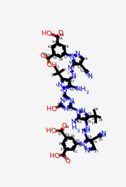 CC(C)(C)c1nn(-c2nc(O)nc(-n3nc(C(C)(C)C)c(/N=N/c4c(C#N)cnn4-c4cc(C(=O)O)cc(C(=O)O)c4)c3N)n2)c(N)c1/N=N/c1c(C#N)cnn1-c1cc(C(=O)O)cc(C(=O)O)c1